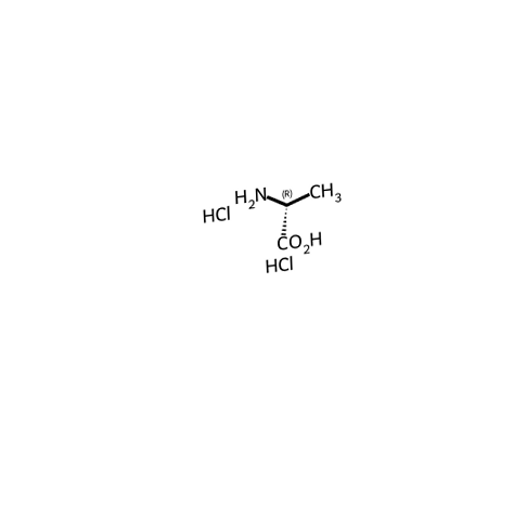 C[C@@H](N)C(=O)O.Cl.Cl